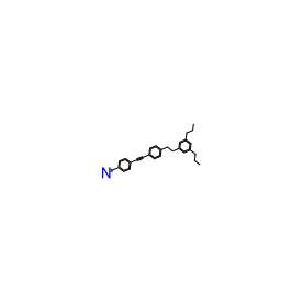 CCCc1cc(CCC)cc(CCc2ccc(C#Cc3ccc(C#N)cc3)cc2)c1